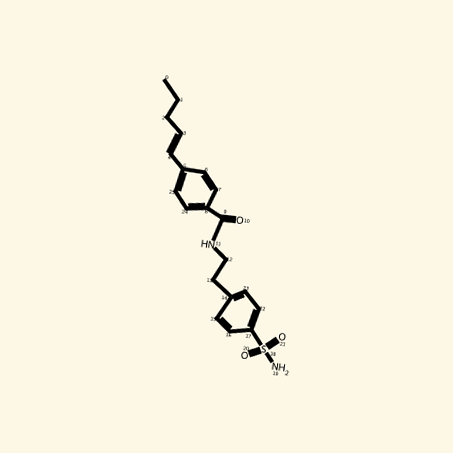 CCC/C=C/c1ccc(C(=O)NCCc2ccc(S(N)(=O)=O)cc2)cc1